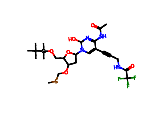 CSCOC1CC(N2C=C(C#CCNC(=O)C(F)(F)F)C(NC(C)=O)=NC2O)OC1CO[Si](C)(C)C(C)(C)C